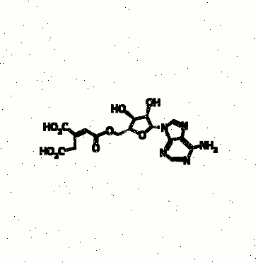 Nc1ncnc2c1ncn2[C@@H]1O[C@H](COC(=O)C=C(CC(=O)O)C(=O)O)[C@@H](O)[C@H]1O